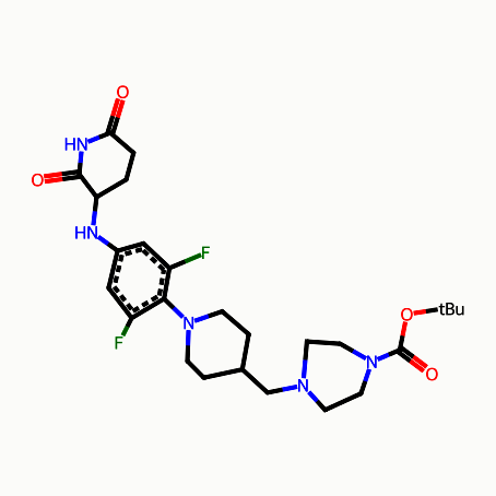 CC(C)(C)OC(=O)N1CCN(CC2CCN(c3c(F)cc(NC4CCC(=O)NC4=O)cc3F)CC2)CC1